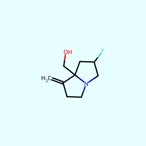 C=C1CCN2CC(F)CC12CO